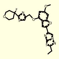 CCc1nn2cc(-c3cc4c(OCc5csc(C6(F)CCOCC6)n5)cc(OC)cc4o3)nc2s1